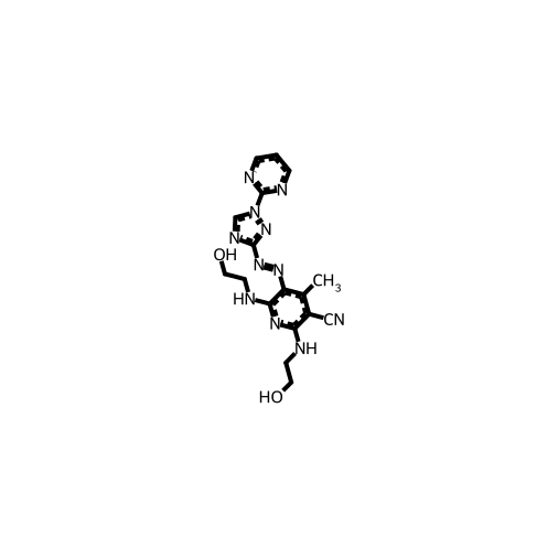 Cc1c(C#N)c(NCCO)nc(NCCO)c1/N=N/c1ncn(-c2ncccn2)n1